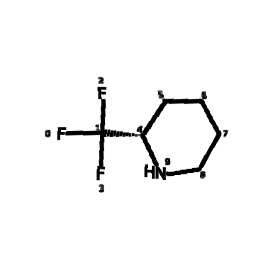 FC(F)(F)[C@@H]1CCCCN1